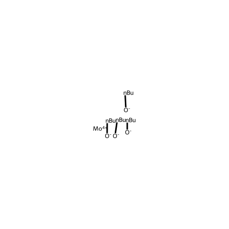 CCCC[O-].CCCC[O-].CCCC[O-].CCCC[O-].[Mo+4]